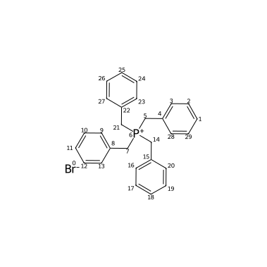 [Br-].c1ccc(C[P+](Cc2ccccc2)(Cc2ccccc2)Cc2ccccc2)cc1